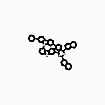 c1ccc(-c2ccc3c4ccc(-c5ccccc5)cc4n(-c4cccc5oc6cc(C7=NC(c8ccc9ccccc9c8)=NC(c8ccc9ccccc9c8)N7)ccc6c45)c3c2)cc1